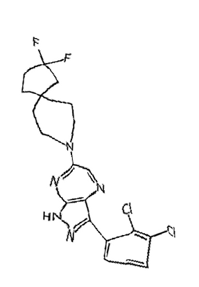 FC1(F)CCC2(CCN(c3cnc4c(-c5cccc(Cl)c5Cl)n[nH]c4n3)CC2)C1